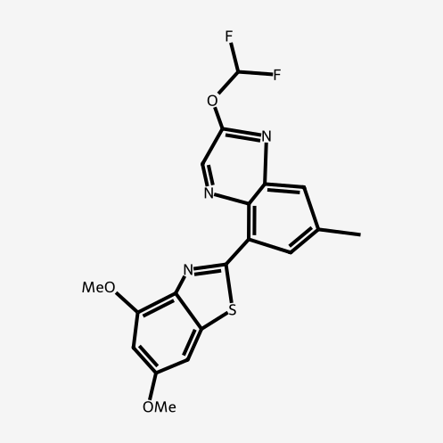 COc1cc(OC)c2nc(-c3cc(C)cc4nc(OC(F)F)cnc34)sc2c1